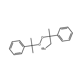 CC(C)(C)CC(C)(OOC(C)(C)c1ccccc1)c1ccccc1